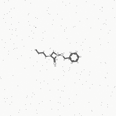 CCCC[C@H]1CN(OCc2ccccc2)C1=O